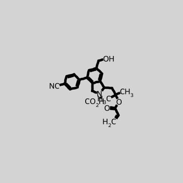 C=CC(=O)OC(C)(C)CC1c2cc(CO)cc(-c3ccc(C#N)cc3)c2CN1C(=O)O